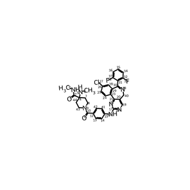 CNC(=O)C1(NC)CCN(C(=O)c2ccc(Nc3ncc4c(n3)-c3ccc(Cl)cc3C(c3c(F)cccc3F)=NC4)cc2)CC1